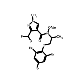 CON(C(=O)c1cn(C)nc1C(F)F)C(C)COc1c(Br)cc(Br)cc1Br